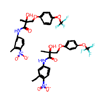 Cc1cc(NC(=O)C(C)(O)COc2ccc(OC(F)(F)F)cc2)ccc1[N+](=O)[O-].Cc1cc(NC(=O)C(C)(O)COc2ccc(OC(F)(F)F)cc2)ccc1[N+](=O)[O-]